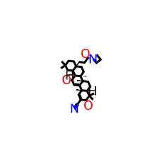 CC1(C)CC[C@]2(CCC(=O)N3CCC3)CC[C@]3(C)C(C(=O)C=C4[C@@]5(C)C=C(C#N)C(=O)C(C)(C)[C@@H]5CC[C@]43C)[C@H]2C1